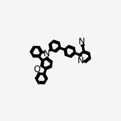 N#Cc1cccnc1-c1ccc(-c2cccc(-n3c4ccccc4c4c5oc6ccccc6c5ccc43)c2)cc1